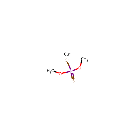 COP(=S)([S-])OC.[Cu+]